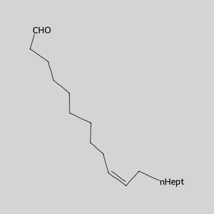 CCCCCCCC/C=C\CCCCCCCCC=O